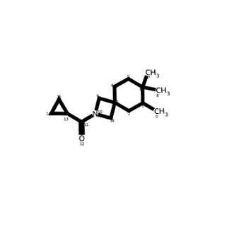 CC1CC2(CCC1(C)C)CN(C(=O)C1CC1)C2